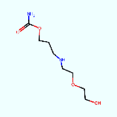 NC(=O)OCCCNCCOCCO